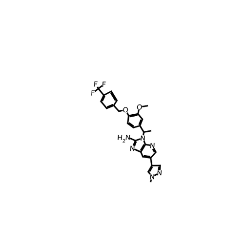 COc1cc(C(C)n2c(N)nc3cc(-c4cnn(C)c4)cnc32)ccc1OCc1ccc(C(F)(F)F)cc1